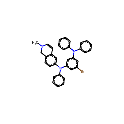 CN1C=Cc2cc(N(c3ccccc3)c3cc(Br)cc(N(c4ccccc4)c4ccccc4)c3)ccc2C1